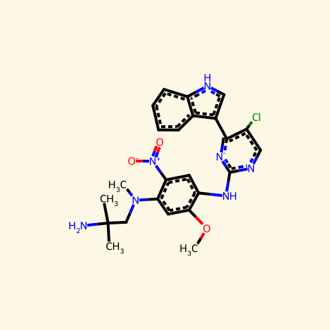 COc1cc(N(C)CC(C)(C)N)c([N+](=O)[O-])cc1Nc1ncc(Cl)c(-c2c[nH]c3ccccc23)n1